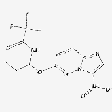 CCC(NC(=O)C(F)(F)F)Oc1ccc2ncc([N+](=O)[O-])n2n1